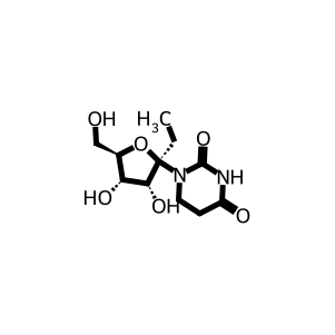 CC[C@@]1(N2CCC(=O)NC2=O)O[C@H](CO)[C@@H](O)[C@H]1O